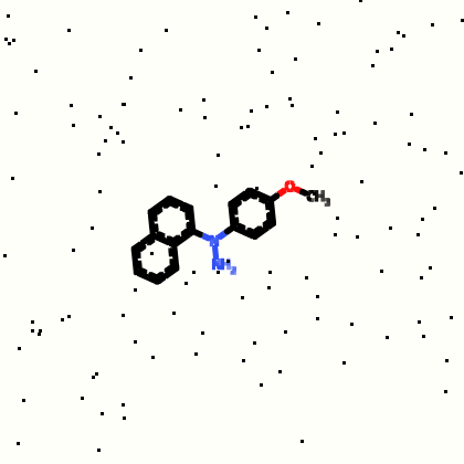 COc1ccc(N(N)c2cccc3ccccc23)cc1